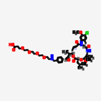 COc1ccc(C[C@H]2NC(=O)/C=C/C[C@@H]([C@H](C)[C@H]3O[C@@H]3c3ccc(CNCCOCCOCCOCCOCCC(=O)O)cc3)OC(=O)[C@H](CC(C)C)OC(=O)C(C)(C)CNC2=O)cc1Cl